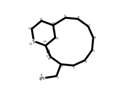 CC(C)CC1CCCCCCCC2CCS[C@H](C2)C1